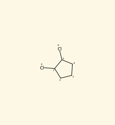 Cl[C]1CCCC1Cl